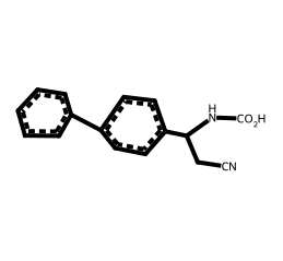 N#CCC(NC(=O)O)c1ccc(-c2ccccc2)cc1